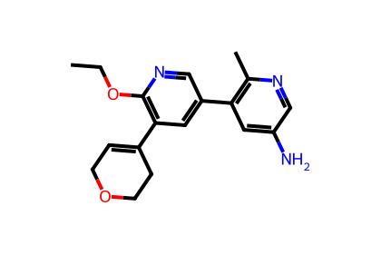 CCOc1ncc(-c2cc(N)cnc2C)cc1C1=CCOCC1